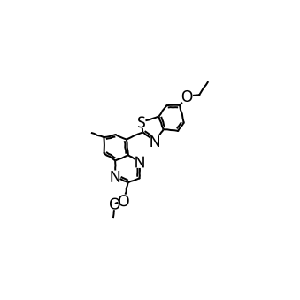 CCOc1ccc2nc(-c3cc(C)cc4nc(OOC)cnc34)sc2c1